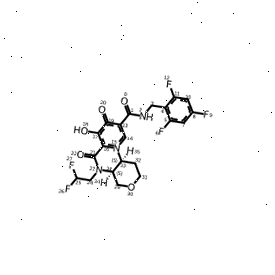 O=C(NCc1c(F)cc(F)cc1F)c1cn2c(c(O)c1=O)C(=O)N(CC(F)F)[C@@H]1COCC[C@@H]12